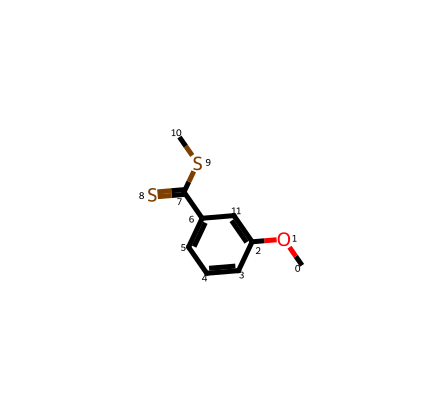 COc1cccc(C(=S)SC)c1